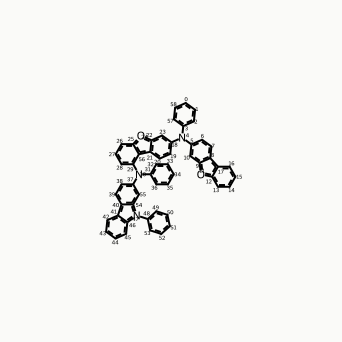 c1ccc(N(c2ccc3c(c2)oc2ccccc23)c2ccc3c(c2)oc2cccc(N(c4ccccc4)c4ccc5c6ccccc6n(-c6ccccc6)c5c4)c23)cc1